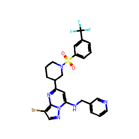 O=S(=O)(c1cccc(C(F)(F)F)c1)N1CCCC(c2cc(NCc3cccnc3)n3ncc(Br)c3n2)C1